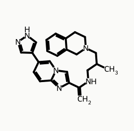 C=C(NCC(C)CN1CCc2ccccc2C1)c1cn2cc(-c3cn[nH]c3)ccc2n1